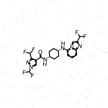 O=C(N[C@H]1CC[C@@H](Nc2cccc3nc(C(F)F)cn23)CC1)c1cn(C(F)F)nc1C(F)F